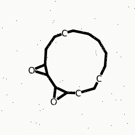 C1CCCCCC2OC2C2OC2CCCCC1